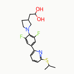 CC(C)Sc1cccc(-c2cc(F)c(N3CCC(CC(O)O)C3)c(F)c2)n1